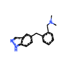 CN(C)Cc1ccccc1Cc1ccc2[nH]ncc2c1